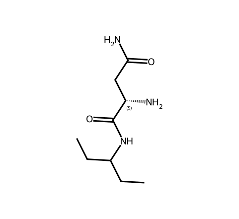 CCC(CC)NC(=O)[C@@H](N)CC(N)=O